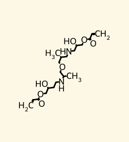 C=CC(=O)OCC(O)CCNC(C)COCC(C)CNCC(O)COC(=O)C=C